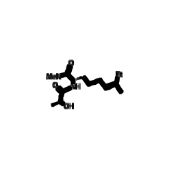 CC/C(C)=C\CCC[C@H](NC(=O)[C@H](C)O)C(=O)NC